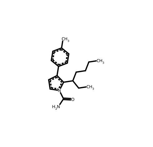 CCCCC(CC)c1c(-c2ccc(C)cc2)ccn1C(N)=O